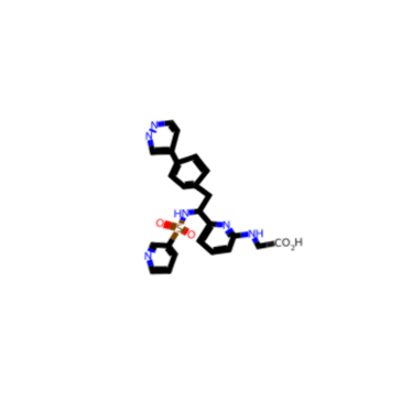 O=C(O)CNc1cccc(C(Cc2ccc(-c3ccnnc3)cc2)NS(=O)(=O)c2cccnc2)n1